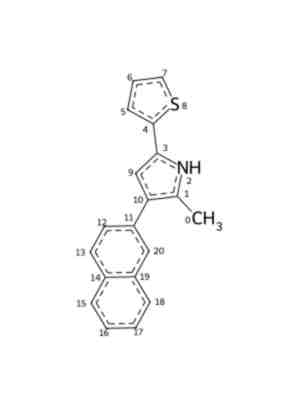 Cc1[nH]c(-c2cccs2)cc1-c1ccc2ccccc2c1